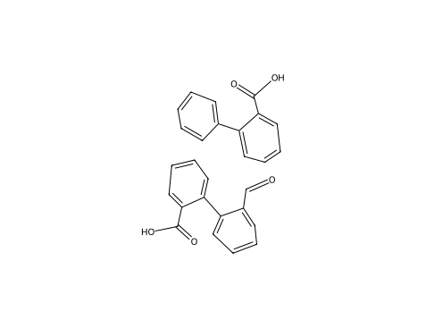 O=C(O)c1ccccc1-c1ccccc1.O=Cc1ccccc1-c1ccccc1C(=O)O